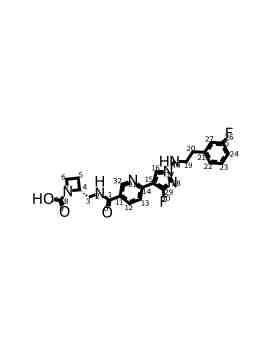 O=C(NC[C@H]1CCN1C(=O)O)c1ccc(-c2cn(NCCc3cccc(F)c3)nc2F)nc1